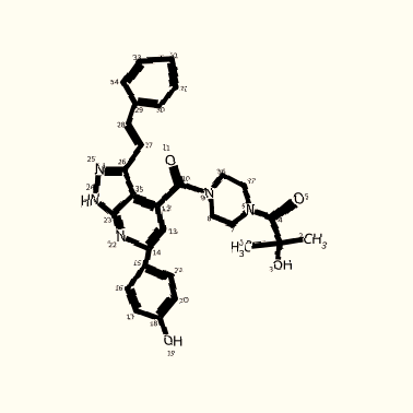 CC(C)(O)C(=O)N1CCN(C(=O)c2cc(-c3ccc(O)cc3)nc3[nH]nc(C=Cc4ccccc4)c23)CC1